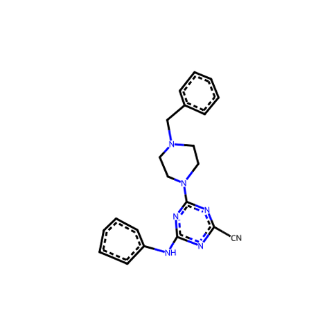 N#Cc1nc(Nc2ccccc2)nc(N2CCN(Cc3ccccc3)CC2)n1